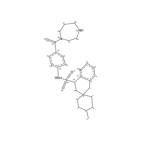 CC1CCC2(CC1)Cc1cccnc1C(S(=O)(=O)Nc1ccc(C(=O)N3CCCNCC3)cc1)C2